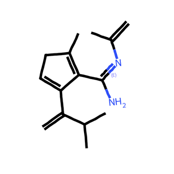 C=C(C)/N=C(/N)C1=C(C)CC=C1C(=C)C(C)C